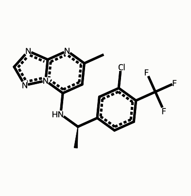 Cc1cc(N[C@H](C)c2ccc(C(F)(F)F)c(Cl)c2)n2ncnc2n1